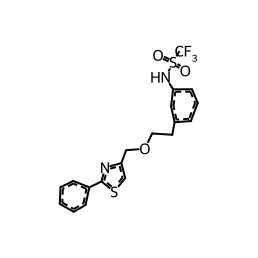 O=S(=O)(Nc1cccc(CCOCc2csc(-c3ccccc3)n2)c1)C(F)(F)F